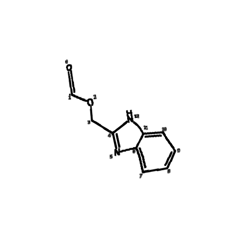 O=[C]OCc1nc2ccccc2[nH]1